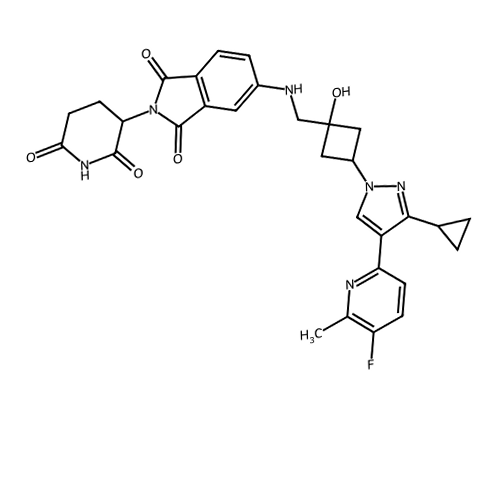 Cc1nc(-c2cn(C3CC(O)(CNc4ccc5c(c4)C(=O)N(C4CCC(=O)NC4=O)C5=O)C3)nc2C2CC2)ccc1F